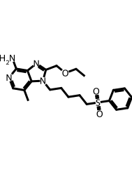 CCOCc1nc2c(N)ncc(C)c2n1CCCCCS(=O)(=O)c1ccccc1